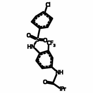 CC(C)C(=O)Nc1ccc(NS(=O)(=O)c2ccc(Cl)cc2)c(C(F)(F)F)c1